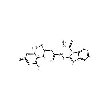 CC(C)(C)OC(=O)n1c(CNC(=O)NC(CO)Cc2ccc(Cl)cc2Cl)nc2ccccc21